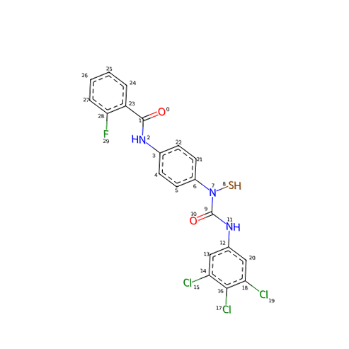 O=C(Nc1ccc(N(S)C(=O)Nc2cc(Cl)c(Cl)c(Cl)c2)cc1)c1ccccc1F